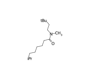 CC(C)CCCCCC(=O)N(C)CCC(C)(C)C